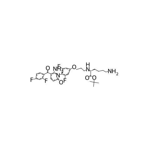 CC(C)(C)OC(=O)[C@H](CCCCN)NCCCOc1cc(F)c(-n2c(N)c(C(=O)c3ccc(F)cc3F)ccc2=O)c(F)c1